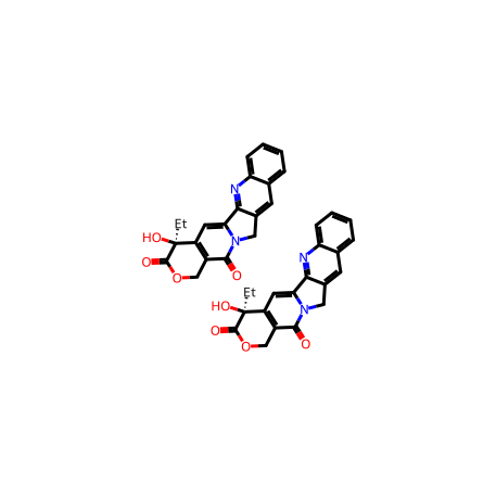 CC[C@@]1(O)C(=O)OCc2c1cc1n(c2=O)Cc2cc3ccccc3nc2-1.CC[C@@]1(O)C(=O)OCc2c1cc1n(c2=O)Cc2cc3ccccc3nc2-1